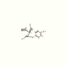 CN=C(SC)N(C)Cc1ccc(F)nc1